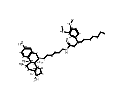 CCCCCCCC(CC(=O)NCCCCCC[C@@H]1Cc2cc(O)ccc2[C@@H]2[C@@H]1[C@@H]1CC[C@H](O)[C@@]1(C)C[C@@H]2F)c1ccc(OC)c(OC)c1